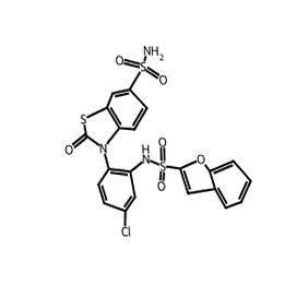 NS(=O)(=O)c1ccc2c(c1)sc(=O)n2-c1ccc(Cl)cc1NS(=O)(=O)c1cc2ccccc2o1